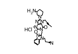 CC#CCn1c(N2CCCC(N)C2)nc2c1c(=O)n(Cc1nc3ccccc3n1CCC#N)c(=O)n2C.Cl